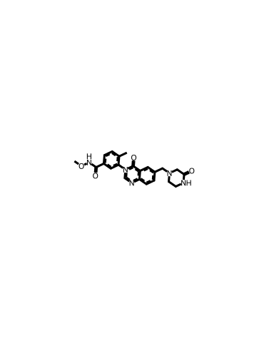 CONC(=O)c1ccc(C)c(-n2cnc3ccc(CN4CCNC(=O)C4)cc3c2=O)c1